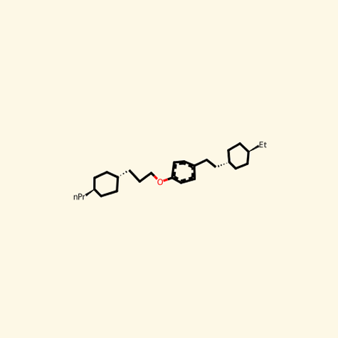 CCC[C@H]1CC[C@H](CCCOc2ccc(CC[C@H]3CC[C@H](CC)CC3)cc2)CC1